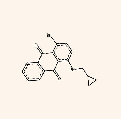 O=C1c2ccccc2C(=O)c2c(NCC3CC3)ccc(Br)c21